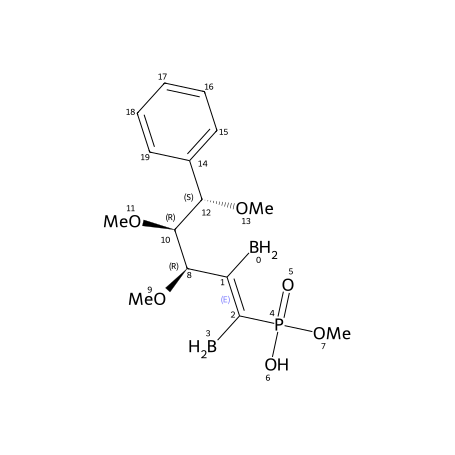 B/C(=C(/B)P(=O)(O)OC)[C@@H](OC)[C@@H](OC)[C@@H](OC)c1ccccc1